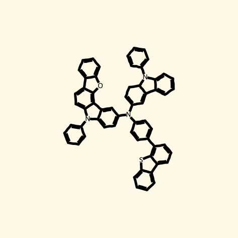 C1=C2c3ccccc3N(c3ccccc3)C2CC=C1N(c1ccc(-c2cccc3c2sc2ccccc23)cc1)c1ccc2c(c1)c1c3oc4ccccc4c3ccc1n2-c1ccccc1